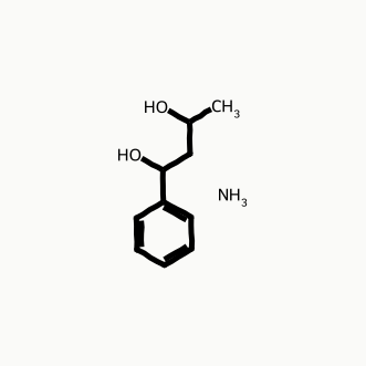 CC(O)CC(O)c1ccccc1.N